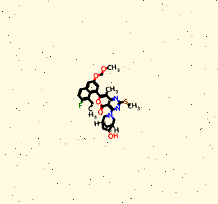 CCc1c(F)ccc2cc(OCOC)cc(-c3oc(=O)c4c(N5C[C@H]6C[C@@H](C5)[C@H](O)C6)nc(SC)nc4c3C)c12